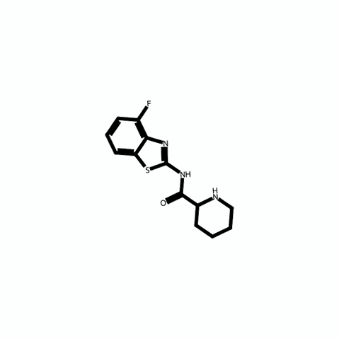 O=C(Nc1nc2c(F)cccc2s1)C1CCCCN1